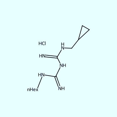 CCCCCCNC(=N)NC(=N)NCC1CC1.Cl